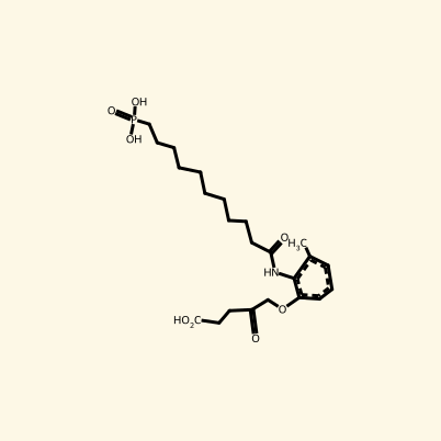 Cc1cccc(OCC(=O)CCC(=O)O)c1NC(=O)CCCCCCCCCCP(=O)(O)O